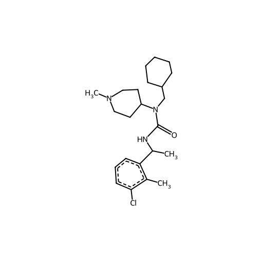 Cc1c(Cl)cccc1C(C)NC(=O)N(CC1CCCCC1)C1CCN(C)CC1